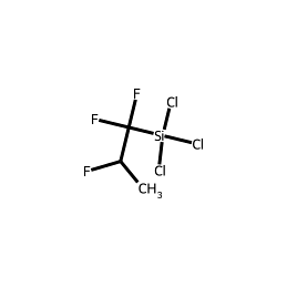 CC(F)C(F)(F)[Si](Cl)(Cl)Cl